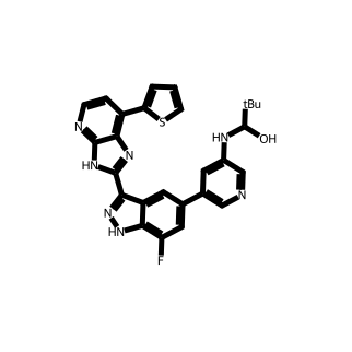 CC(C)(C)C(O)Nc1cncc(-c2cc(F)c3[nH]nc(-c4nc5c(-c6cccs6)ccnc5[nH]4)c3c2)c1